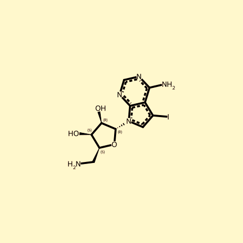 NC[C@@H]1O[C@@H](n2cc(I)c3c(N)ncnc32)[C@H](O)[C@@H]1O